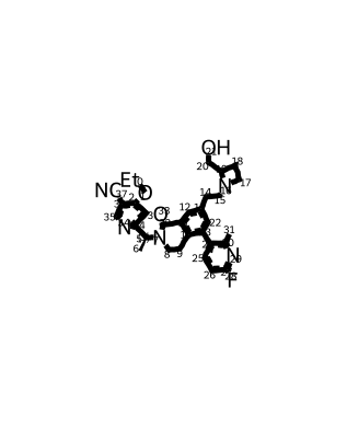 CCOc1cc([C@H](C)N2CCc3c(cc(CCN4CCC4CO)cc3-c3ccc(F)nc3C)C2=O)ncc1C#N